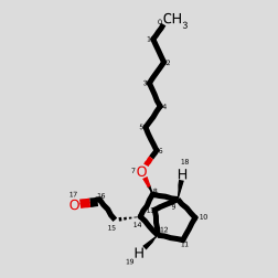 CCCCCCCO[C@H]1[C@@H]2CC[C@@H](C2)[C@@H]1CC=O